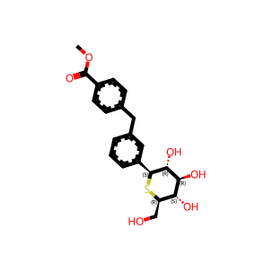 COC(=O)c1ccc(Cc2cccc([C@@H]3S[C@H](CO)[C@@H](O)[C@H](O)[C@H]3O)c2)cc1